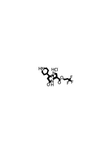 Cl.O=C(OCCC(F)(F)F)c1cnn2c(C3CCNCC3)cc(=O)[nH]c12